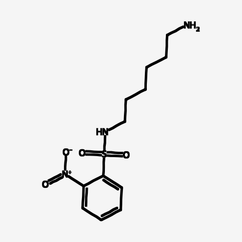 NCCCCCCNS(=O)(=O)c1ccccc1[N+](=O)[O-]